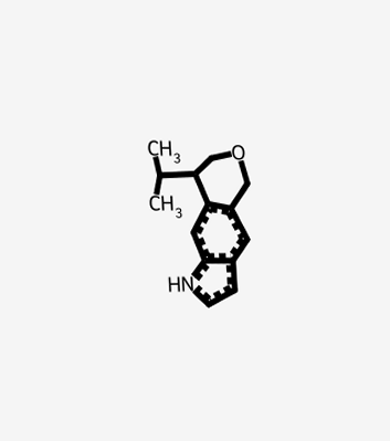 CC(C)C1COCc2cc3cc[nH]c3cc21